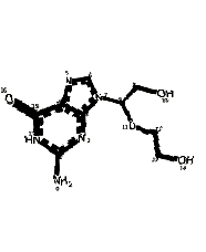 Nc1nc2c(ncn2[C@@H](CO)OCCO)c(=O)[nH]1